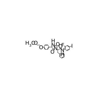 COCCOc1ccc(C2NC(=O)N(C(Cc3ccccc3)C(=O)Nc3ccc(I)cc3F)C2=O)cc1